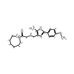 CSc1ccc(-c2nc(CSCC(=O)N3CCCCCCC3)c(C)o2)cc1